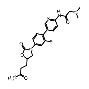 CN(C)CC(=O)Nc1ccc(-c2ccc(N3CC(CCC(N)=O)OC3=O)cc2F)cn1